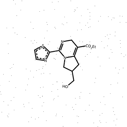 CCOC(=O)C1=C2CC(CO)CN2C(c2nccs2)=NC1